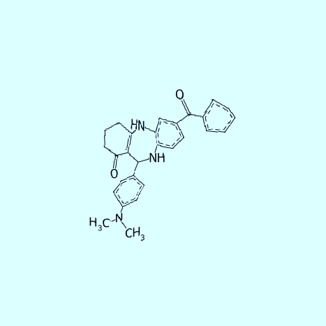 CN(C)c1ccc(C2Nc3ccc(C(=O)c4ccccc4)cc3NC3=C2C(=O)CCC3)cc1